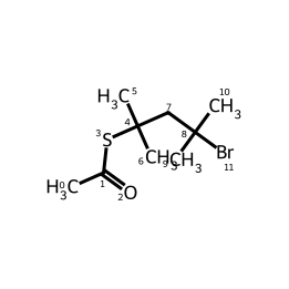 CC(=O)SC(C)(C)CC(C)(C)Br